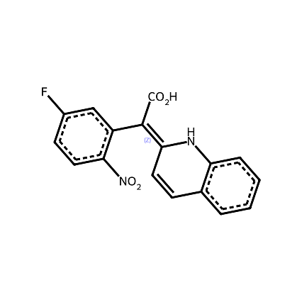 O=C(O)/C(=C1/C=Cc2ccccc2N1)c1cc(F)ccc1[N+](=O)[O-]